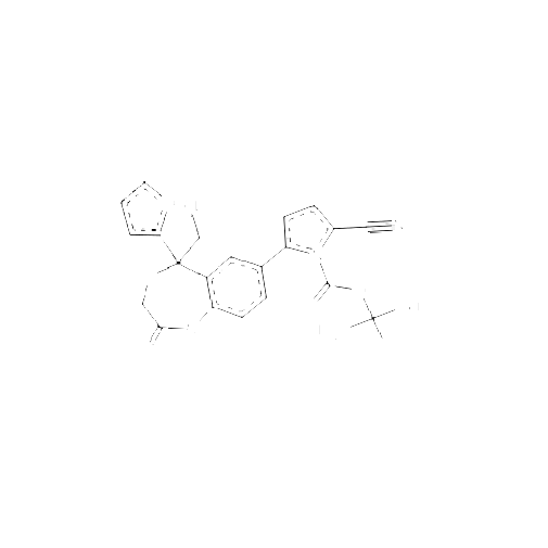 CCC1(c2ccco2)OCC(=O)Nc2ccc(-c3ccc(C#N)n3C(=O)OC(C)(C)C)cc21